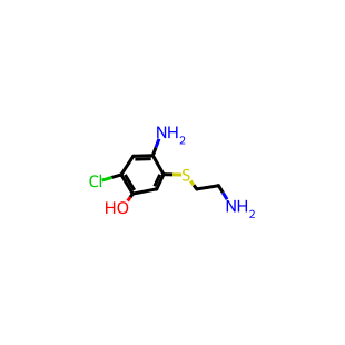 NCCSc1cc(O)c(Cl)cc1N